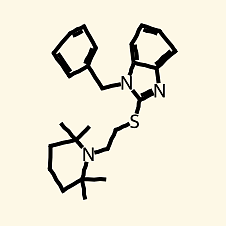 CC1(C)CCCC(C)(C)N1CCSc1nc2ccccc2n1Cc1ccccc1